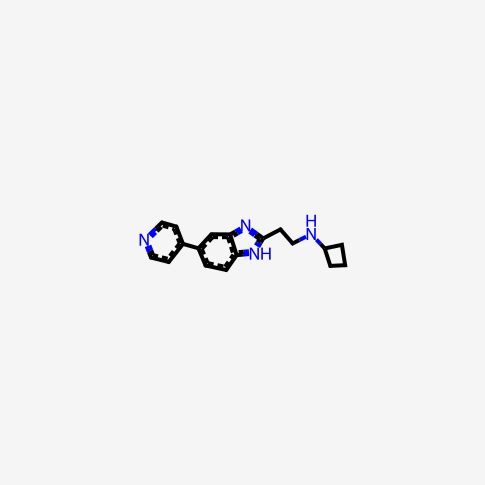 c1cc(-c2ccc3[nH]c(CCNC4CCC4)nc3c2)ccn1